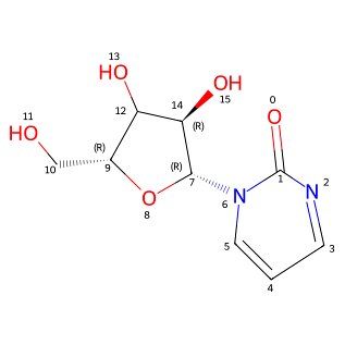 O=c1ncccn1[C@@H]1O[C@H](CO)C(O)[C@H]1O